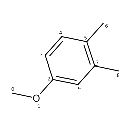 COc1ccc(C)c(C)c1